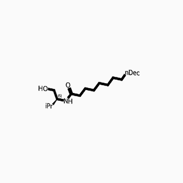 CCCCCCCCCCCCCCCCCC(=O)N[C@H](CO)C(C)C